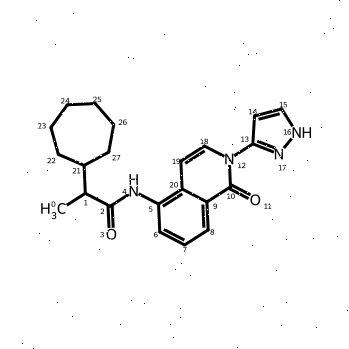 CC(C(=O)Nc1cccc2c(=O)n(-c3cc[nH]n3)ccc12)C1CCCCCC1